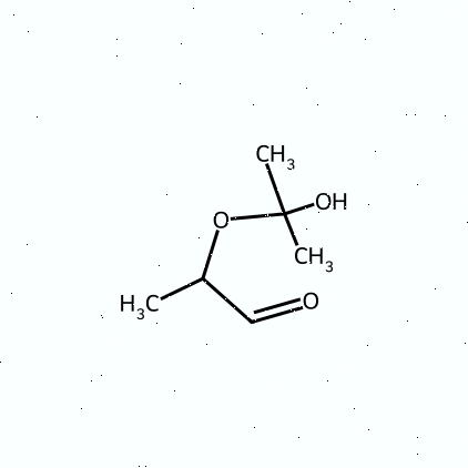 CC(C=O)OC(C)(C)O